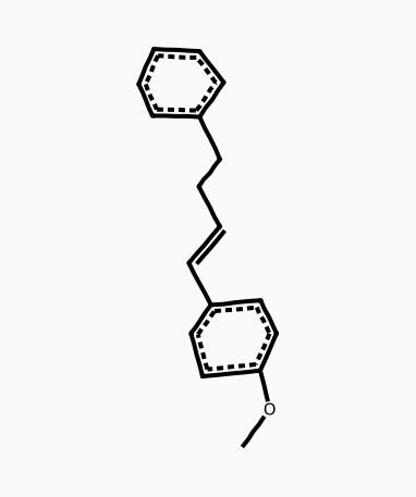 COc1ccc(C=CCCc2ccccc2)cc1